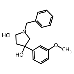 COc1cccc(C2(O)CCN(Cc3ccccc3)C2)c1.Cl